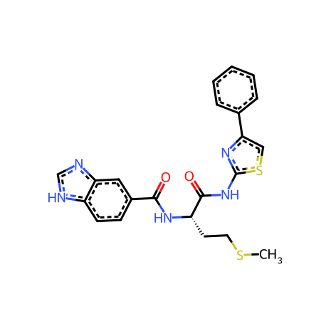 CSCC[C@H](NC(=O)c1ccc2[nH]cnc2c1)C(=O)Nc1nc(-c2ccccc2)cs1